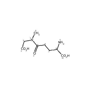 CN(CC(=O)O)C(=O)CCC(N)C(=O)O